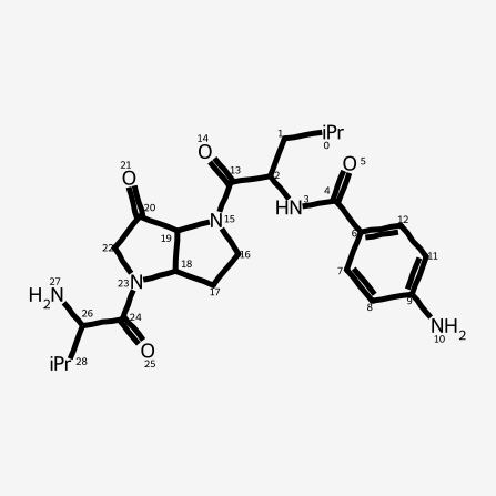 CC(C)CC(NC(=O)c1ccc(N)cc1)C(=O)N1CCC2C1C(=O)CN2C(=O)C(N)C(C)C